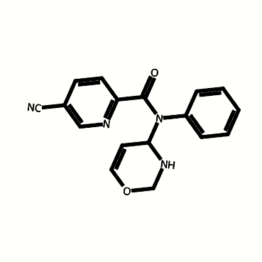 N#Cc1ccc(C(=O)N(c2ccccc2)C2C=COCN2)nc1